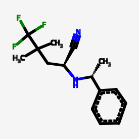 C[C@@H](N[C@H](C#N)CC(C)(C)C(F)(F)F)c1ccccc1